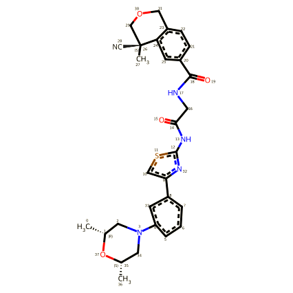 C[C@@H]1CN(c2cccc(-c3csc(NC(=O)CNC(=O)c4ccc5c(c4)[C@@](C)(C#N)COC5)n3)c2)C[C@H](C)O1